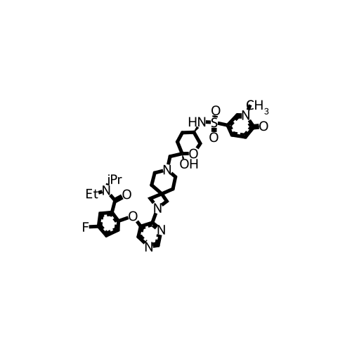 CCN(C(=O)c1cc(F)ccc1Oc1cncnc1N1CC2(CCN(C[C@@]3(O)CC[C@@H](NS(=O)(=O)c4ccc(=O)n(C)c4)CO3)CC2)C1)C(C)C